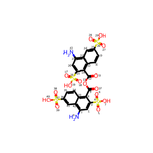 Nc1cc(S(=O)(=O)O)c(C(=O)OC(=O)c2c(S(=O)(=O)O)cc(N)c3cc(S(=O)(=O)O)ccc23)c2ccc(S(=O)(=O)O)cc12